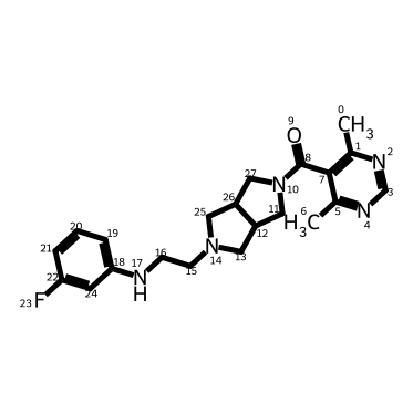 Cc1ncnc(C)c1C(=O)N1CC2CN(CCNc3cccc(F)c3)CC2C1